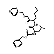 CCCCC(NC(=O)C(CC(C)C)NC(=O)OCc1ccccc1)C(=O)CSCc1ccncc1